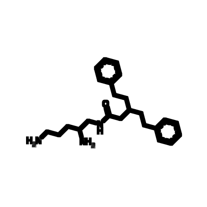 NCCCC(N)CNC(=O)CC(CCc1ccccc1)CCc1ccccc1